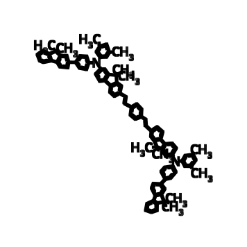 Cc1cc(C)cc(N(c2ccc(-c3ccc4c(c3)C(C)(C)c3ccccc3-4)cc2)c2ccc3c(c2)C(C)(C)c2cc(/C=C/c4ccc(/C=C/c5ccc6c(c5)C(C)(C)c5cc(N(c7ccc(-c8ccc9c(c8)C(C)(C)c8ccccc8-9)cc7)c7cc(C)cc(C)c7)ccc5-6)cc4)ccc2-3)c1